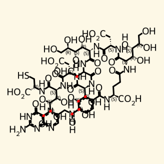 Nc1nc2ncc(CNc3ccc(C(=O)N[C@@H](CCC(=O)N[C@H](C(=O)N[C@@H](CC(=O)O)C(=O)N[C@H](C(=O)NC(CC=O)C(=O)N[C@H](C(=O)N[C@@H](CC(=O)O)C(=O)N[C@H](C(=O)N[C@@H](CS)C(=O)O)[C@@H](O)[C@H](O)[C@H](O)CO)[C@@H](O)[C@H](O)[C@H](O)CO)[C@@H](O)[C@H](O)[C@H](O)CO)[C@@H](O)[C@H](O)[C@H](O)CO)C(=O)O)cc3)nc2c(=O)[nH]1